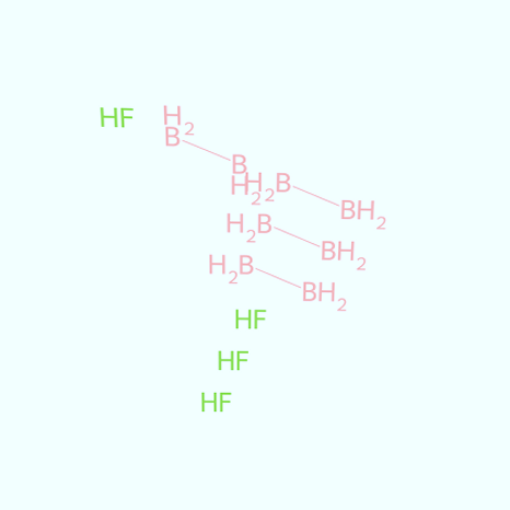 BB.BB.BB.BB.F.F.F.F